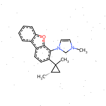 C[C@H]1CC1(C)c1ccc2c(oc3ccccc32)c1N1C=CN(C)C1